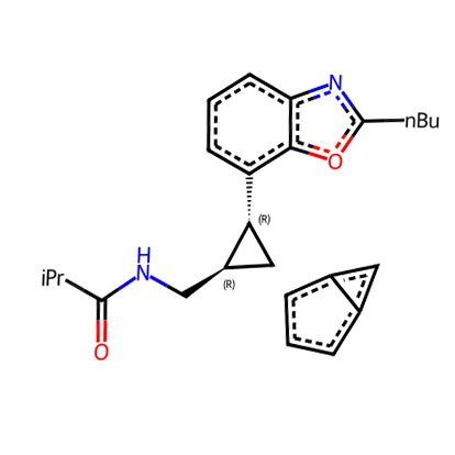 CCCCc1nc2cccc([C@@H]3C[C@H]3CNC(=O)C(C)C)c2o1.c1cc2cc-2c1